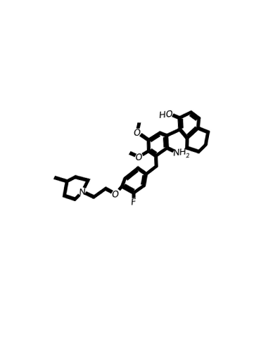 COc1cc(-c2c(O)ccc3c2CCCC3)c(N)c(Cc2ccc(OCCN3CCC(C)CC3)c(F)c2)c1OC